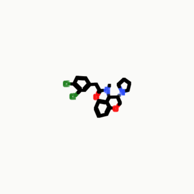 CN(C(=O)Cc1ccc(Cl)c(Cl)c1)[C@@H]1c2ccccc2OC[C@H]1N1CCCC1